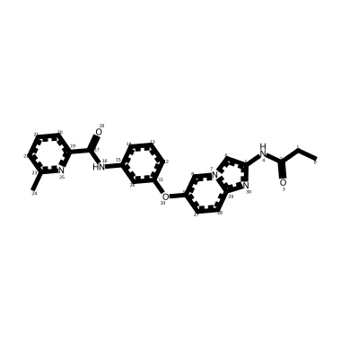 CCC(=O)Nc1cn2cc(Oc3cccc(NC(=O)c4cccc(C)n4)c3)ccc2n1